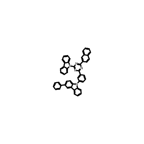 c1ccc(-c2ccc3c(c2)c2ccccc2n3-c2cccc(-c3nc(-c4ccc5ccccc5c4)nc(-n4c5ccccc5c5ccccc54)n3)c2)cc1